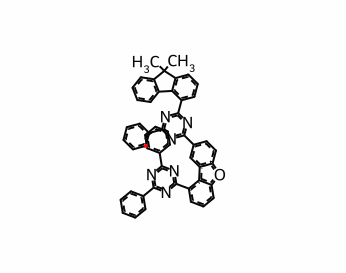 CC1(C)c2ccccc2-c2c(-c3nc(-c4ccccc4)nc(-c4ccc5oc6cccc(-c7nc(-c8ccccc8)nc(-c8ccccc8)n7)c6c5c4)n3)cccc21